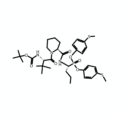 CCC[C@H](NC(=O)[C@@H]1CCCCN1C(=O)[C@@H](NC(=O)OC(C)(C)C)C(C)(C)C)P(=O)(Oc1ccc(SC)cc1)Oc1ccc(SC)cc1